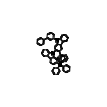 c1ccc(-c2cccc(-n3c4ccccc4c4cc(-c5ccccc5)c(-n5c6ccccc6c6ccc([Si](c7ccccc7)(c7ccccc7)c7ccccc7)cc65)cc43)c2)cc1